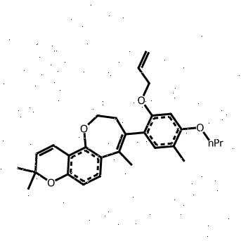 C=CCOc1cc(OCCC)c(C)cc1C1=C(C)c2ccc3c(c2OCC1)C=CC(C)(C)O3